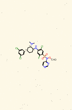 CN(C)[C@H]1C[C@@H](c2cc(Cl)cc(Cl)c2)CC[C@@H]1Nc1cc(F)c(S(=O)(=O)N(OC=O)c2ccncn2)cc1Cl